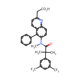 CN(C(=O)C(C)(C)c1cc(C(F)(F)F)cc(C(F)(F)F)c1)c1ccc2nc(CC(=O)O)ccc2c1-c1ccccc1